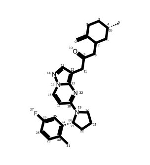 C=C1CC[C@H](C)CC1CC(=O)Cc1cnn2ccc(N3CCC[C@@H]3c3cc(F)ccc3C)nc12